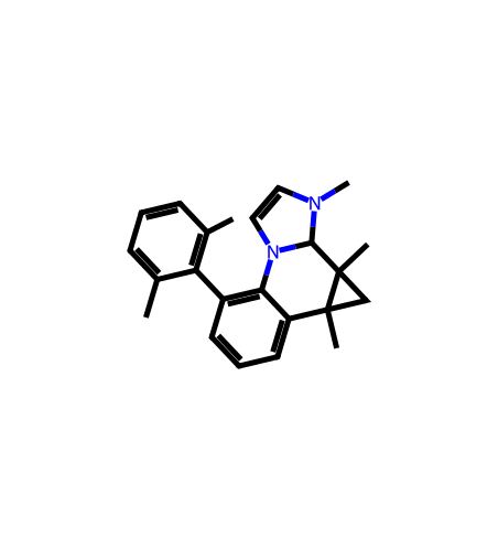 Cc1cccc(C)c1-c1cccc2c1N1C=CN(C)C1C1(C)CC21C